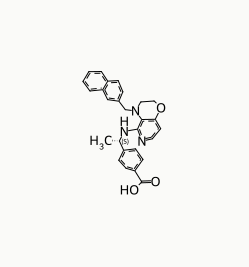 C[C@H](Nc1nccc2c1N(Cc1ccc3ccccc3c1)CCO2)c1ccc(C(=O)O)cc1